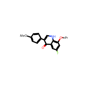 CCCOc1cc(F)cc2c(=O)c(-c3ccc(OC)cc3)c[nH]c12